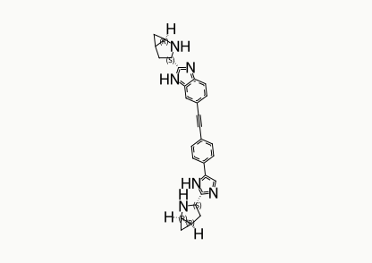 C(#Cc1ccc2nc([C@@H]3CC4C[C@H]4N3)[nH]c2c1)c1ccc(-c2cnc([C@@H]3C[C@H]4C[C@H]4N3)[nH]2)cc1